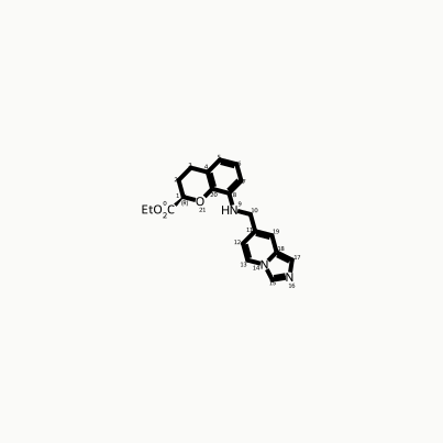 CCOC(=O)[C@H]1CCc2cccc(NCc3ccn4cncc4c3)c2O1